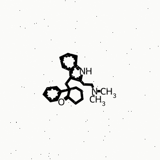 CN(C)CCc1[nH]c2ccccc2c1CC1(c2ccccc2)CCCCC1=O